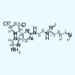 C=N\C(=C/C=C(C)/C=N\C)NCCNc1ncc(-c2nc(N)c[nH]2)c(-c2ccc(Cl)cc2Cl)n1